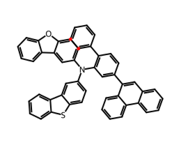 c1ccc(-c2ccc(-c3cc4ccccc4c4ccccc34)cc2N(c2ccc3oc4ccccc4c3c2)c2ccc3sc4ccccc4c3c2)cc1